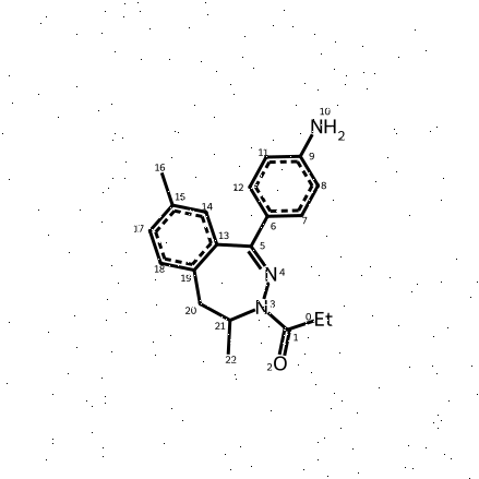 CCC(=O)N1N=C(c2ccc(N)cc2)c2cc(C)ccc2CC1C